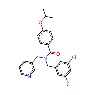 CC(C)Oc1ccc(C(=O)N(Cc2cccnc2)Cc2cc(Cl)cc(Cl)c2)cc1